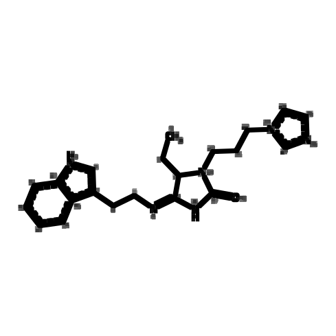 CCC1C(=NCCc2c[nH]c3ccccc23)NC(=O)N1CCCn1ccnc1